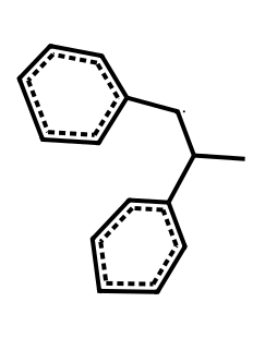 CC([CH]c1ccccc1)c1ccccc1